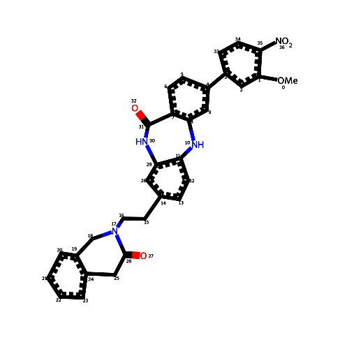 COc1cc(-c2ccc3c(c2)Nc2ccc(CCN4Cc5ccccc5CC4=O)cc2NC3=O)ccc1[N+](=O)[O-]